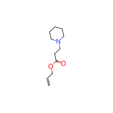 C=CCOC(=O)CCN1CCCCC1